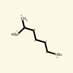 CCCCCCCC[CH](C)[SnH]